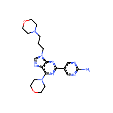 Nc1ncc(-c2nc(N3CCOCC3)c3ncn(CCCN4CCOCC4)c3n2)cn1